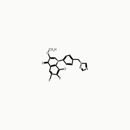 O=C(O)Oc1cn(-c2ccc(Cn3cncn3)cc2)c2c(Cl)c(F)c(F)cc2c1=O